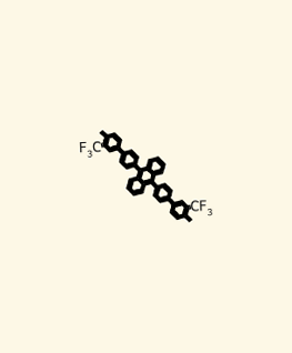 Cc1ccc(-c2ccc(-c3c4ccccc4c(-c4ccc(-c5ccc(C)c(C(F)(F)F)c5)cc4)c4ccccc34)cc2)cc1C(F)(F)F